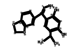 CC(C)c1cc(C(=NN)c2ccc3c(c2)OCO3)c(O)cc1O